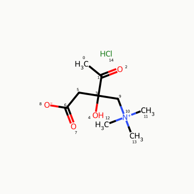 CC(=O)C(O)(CC(=O)[O-])C[N+](C)(C)C.Cl